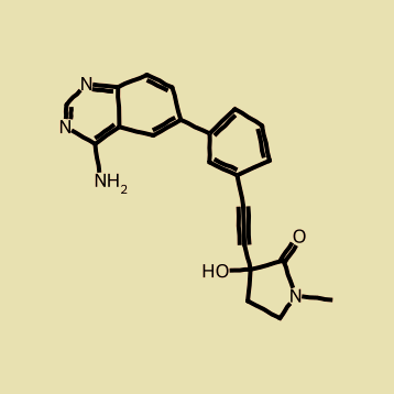 CN1CCC(O)(C#Cc2cccc(-c3ccc4ncnc(N)c4c3)c2)C1=O